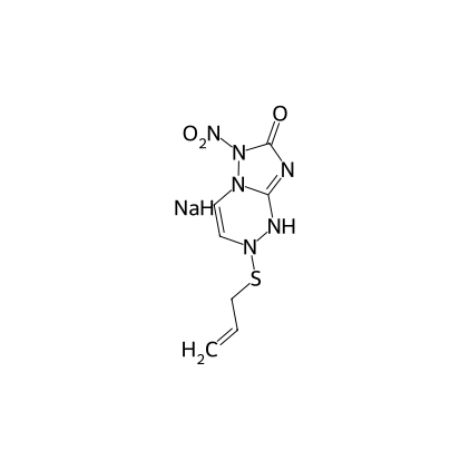 C=CCSN1C=Cn2c(nc(=O)n2[N+](=O)[O-])N1.[NaH]